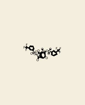 O=C1C2C=CC3C(C4C(=O)N(OS(=O)(=O)c5cccc(C(F)(F)F)c5)C(=O)C24)C1C(OS(=O)(=O)c1cccc(C(F)(F)F)c1)[N+]3=O